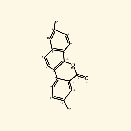 Cc1ccc2c(ccc3c4ccc(C)cc4c(=O)oc23)c1